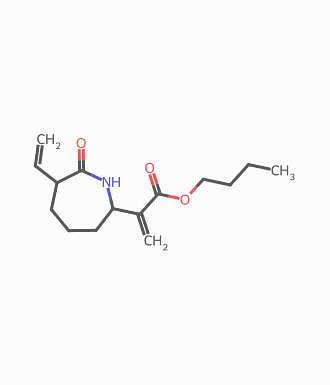 C=CC1CCCC(C(=C)C(=O)OCCCC)NC1=O